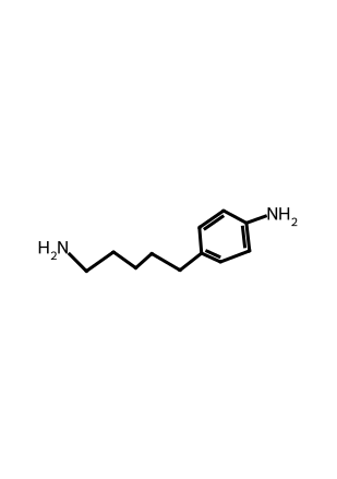 NCCCCCc1ccc(N)cc1